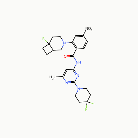 Cc1cc(NC(=O)c2ccc([N+](=O)[O-])cc2N2CCC3(F)CCC3C2)nc(N2CCC(F)(F)CC2)n1